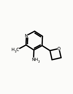 Cc1nccc(C2CCO2)c1N